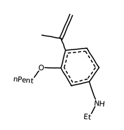 C=C(C)c1ccc(NCC)cc1OCCCCC